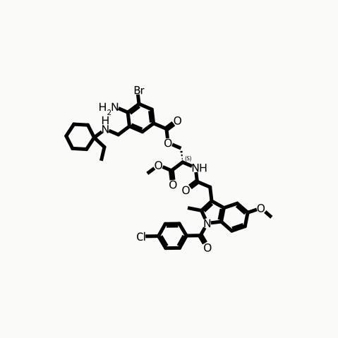 CCC1(NCc2cc(C(=O)OC[C@H](NC(=O)Cc3c(C)n(C(=O)c4ccc(Cl)cc4)c4ccc(OC)cc34)C(=O)OC)cc(Br)c2N)CCCCC1